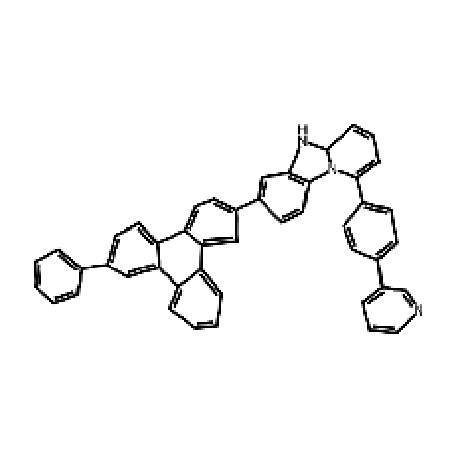 C1=CC2Nc3cc(-c4ccc5c6ccc(-c7ccccc7)cc6c6ccccc6c5c4)ccc3N2C(c2ccc(-c3cccnc3)cc2)=C1